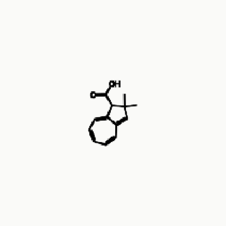 CC1(C)C=C2C=CC=CC=C2C1C(=O)O